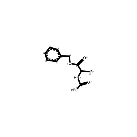 CCCCC(=O)NC(C(=O)OCc1ccccc1)C(C)C